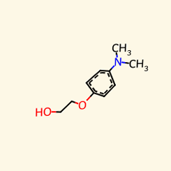 CN(C)c1ccc(OCCO)cc1